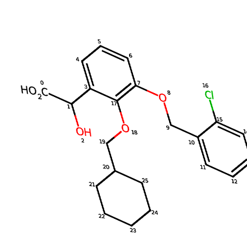 O=C(O)C(O)c1cccc(OCc2ccccc2Cl)c1OCC1CCCCC1